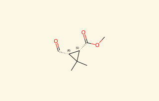 COC(=O)[C@H]1[C@@H](C=O)C1(C)C